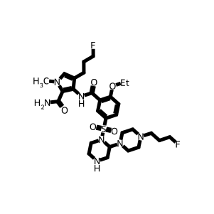 CCOc1ccc(S(=O)(=O)N2CCNCC2N2CCN(CCCF)CC2)cc1C(=O)Nc1c(CCCF)cn(C)c1C(N)=O